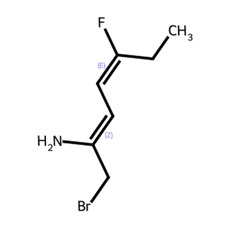 CC/C(F)=C\C=C(/N)CBr